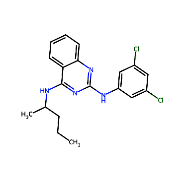 CCCC(C)Nc1nc(Nc2cc(Cl)cc(Cl)c2)nc2ccccc12